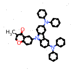 Cc1coc2ccc(-n3c4ccc(N(c5ccccc5)c5ccccc5)cc4c4cc(N(c5ccccc5)c5ccccc5)ccc43)cc2c1=O